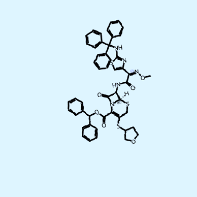 CO/N=C(\C(=O)NC1C(=O)N2C(C(=O)OC(c3ccccc3)c3ccccc3)=C(SC3CCOC3)CS[C@H]12)c1csc(NC(c2ccccc2)(c2ccccc2)c2ccccc2)n1